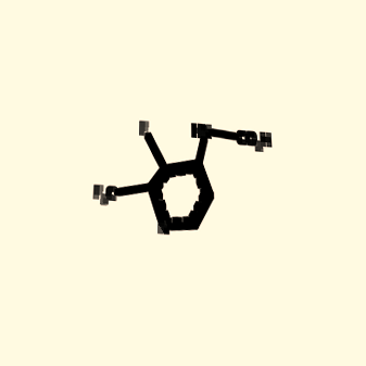 O=C(O)Nc1ccnc(C(F)(F)F)c1F